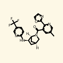 Cc1cnc(-c2ncco2)c(C(=O)N2C[C@H]3C[C@@H](Nc4ccc(C(F)(F)F)cn4)[C@@H]2C3)c1